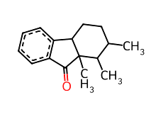 CC1CCC2c3ccccc3C(=O)C2(C)C1C